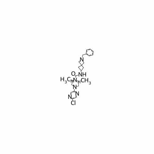 C[C@@H]1CN(c2cnc(Cl)cn2)C[C@@H](C)N1C(=O)NC1CC2(C1)CN(Cc1ccccc1)C2